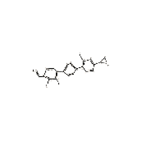 C=Cc1ccc(-c2ccc(-c3ccc(C4CO4)cc3F)cc2)c(F)c1F